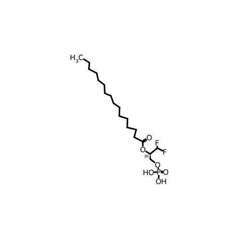 CCCCCCCCCCCCCCCC(=O)O[C@H](COP(=O)(O)O)C(F)F